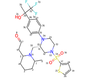 CC1CCCC(CC=O)N1C[C@H]1CN(S(=O)(=O)c2cccs2)CCN1c1ccc(C(C)(O)C(F)(F)F)cc1